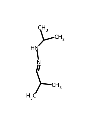 CC(C)C=NNC(C)C